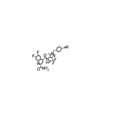 Cc1c(NC(=O)c2cc(C(N)=O)nc3cc(F)c(F)cc23)c(C(F)(F)F)nn1Cc1ccc(C#N)cc1